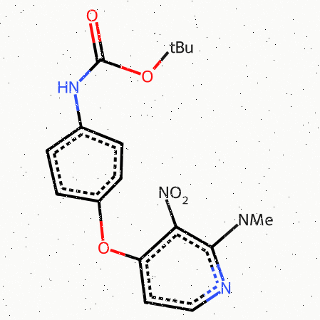 CNc1nccc(Oc2ccc(NC(=O)OC(C)(C)C)cc2)c1[N+](=O)[O-]